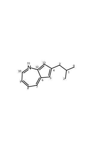 CC(C)Cc1cc2ccccnc-2c1